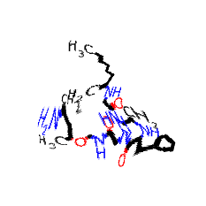 C=C(N)CC(C)OCNC(=O)CNC(=O)C(Cc1ccccc1)NC(=C)CNC(=O)CNC(=C)CCCCCC